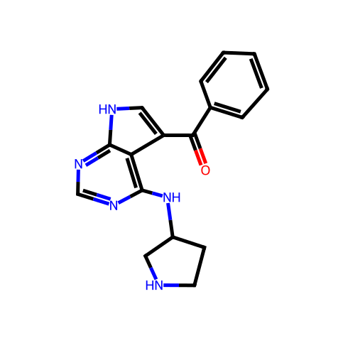 O=C(c1ccccc1)c1c[nH]c2ncnc(NC3CCNC3)c12